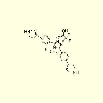 Cn1c(-c2ccc(C3=CCNCC3)cc2)nnc1-c1ccc(C2=CCNCC2)cc1F.O=C(O)C(F)(F)F